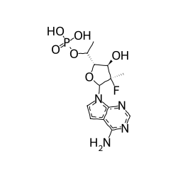 CC(OP(=O)(O)O)[C@H]1OC(n2ccc3c(N)ncnc32)[C@](C)(F)[C@@H]1O